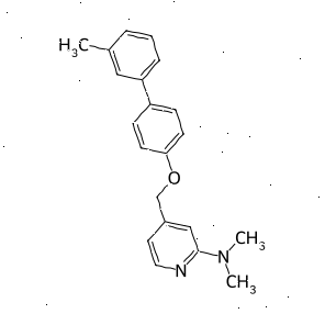 Cc1cccc(-c2ccc(OCc3ccnc(N(C)C)c3)cc2)c1